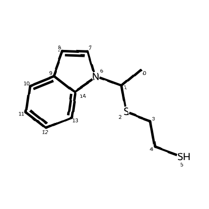 CC(SCCS)n1c[c]c2ccccc21